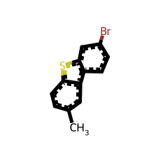 Cc1ccc2sc3cc(Br)ccc3c2c1